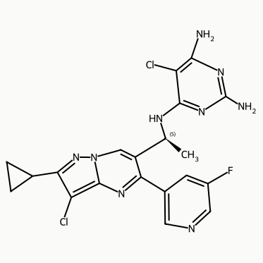 C[C@H](Nc1nc(N)nc(N)c1Cl)c1cn2nc(C3CC3)c(Cl)c2nc1-c1cncc(F)c1